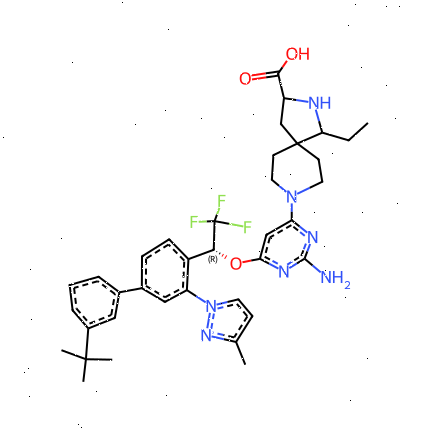 CCC1NC(C(=O)O)CC12CCN(c1cc(O[C@H](c3ccc(-c4cccc(C(C)(C)C)c4)cc3-n3ccc(C)n3)C(F)(F)F)nc(N)n1)CC2